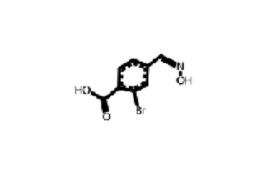 O=C(O)c1ccc(/C=N\O)cc1Br